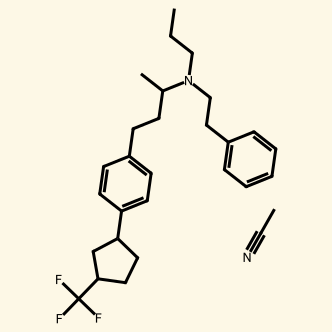 CC#N.CCCN(CCc1ccccc1)C(C)CCc1ccc(C2CCC(C(F)(F)F)C2)cc1